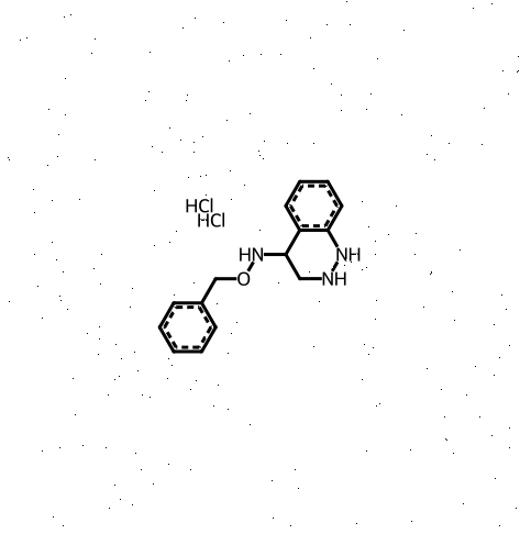 Cl.Cl.c1ccc(CONC2CNNc3ccccc32)cc1